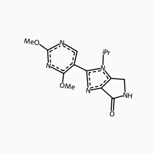 COc1ncc(-c2nc3c(n2C(C)C)CNC3=O)c(OC)n1